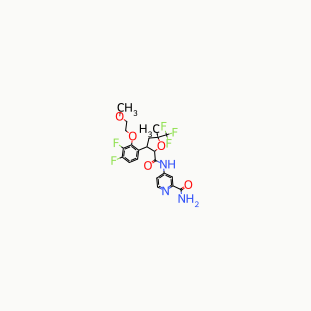 COCCOc1c(C2C[C@](C)(C(F)(F)F)OC2C(=O)Nc2ccnc(C(N)=O)c2)ccc(F)c1F